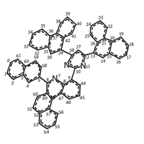 c1ccc2cc(-c3nc4c(-c5nc(-c6cc7ccccc7c7ccccc67)cc(-c6cc7ccccc7c7ccccc67)n5)cccc4c4c3ccc3ccccc34)ccc2c1